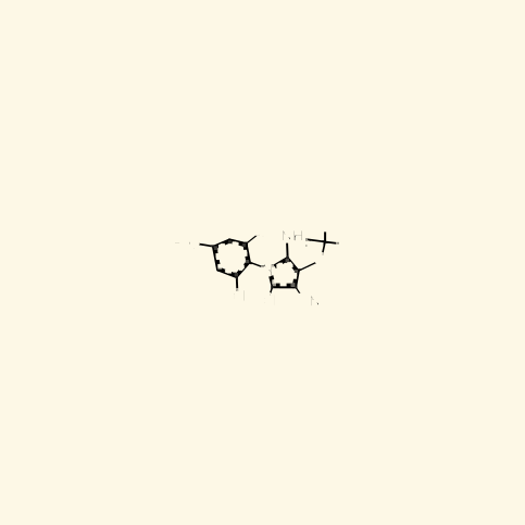 N#Cc1c(SC(F)(Cl)Cl)c(N)n(-c2c(Cl)cc(C(F)(F)F)cc2Cl)c1Cl